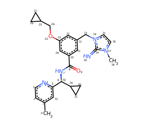 Cc1ccnc([C@@H](NC(=O)c2cc(Cn3ccn(C)c3=N)cc(OCC3CC3)c2)C2CC2)c1